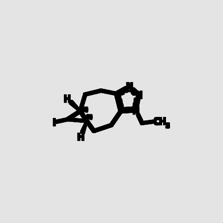 CCn1nnc2c1CC[C@@H]1C(I)[C@@H]1CC2